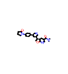 CN(C)C(=O)c1cnc2occ(-c3cncc(-c4ccc(N5CCCC5=O)cc4)c3)c2c1